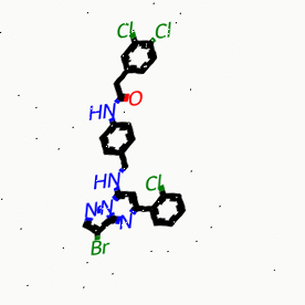 O=C(Cc1ccc(Cl)c(Cl)c1)Nc1ccc(CNc2cc(-c3ccccc3Cl)nc3c(Br)cnn23)cc1